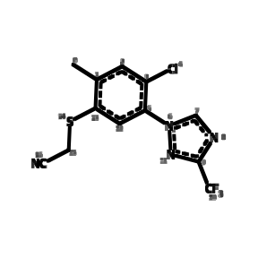 Cc1cc(Cl)c(-n2cnc(C(F)(F)F)n2)cc1SCC#N